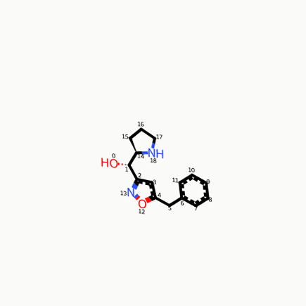 O[C@@H](c1cc(Cc2ccccc2)on1)[C@H]1CCCN1